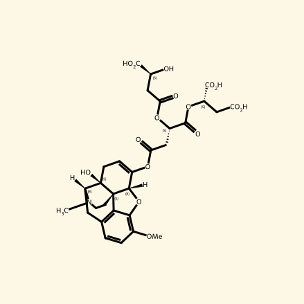 COc1ccc2c3c1O[C@H]1C(OC(=O)C[C@H](OC(=O)C[C@H](O)C(=O)O)C(=O)O[C@@H](CC(=O)O)C(=O)O)=CC[C@@]4(O)[C@@H](C2)N(C)CC[C@]314